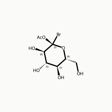 CC(=O)O[C@@]1(Br)O[C@H](CO)[C@@H](O)[C@H](O)[C@H]1O